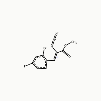 COC(=O)/C(=C/c1ccc(F)cc1Br)N=[N+]=[N-]